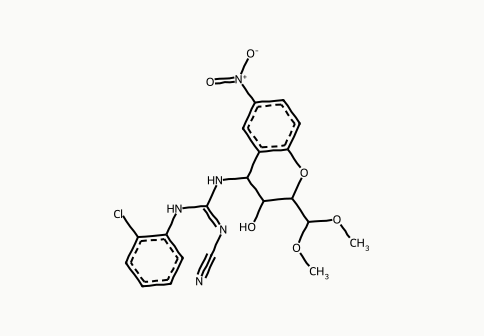 COC(OC)C1Oc2ccc([N+](=O)[O-])cc2C(NC(=NC#N)Nc2ccccc2Cl)C1O